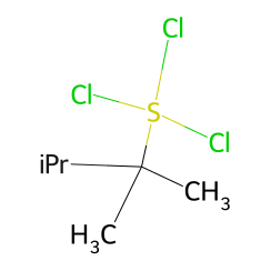 CC(C)C(C)(C)S(Cl)(Cl)Cl